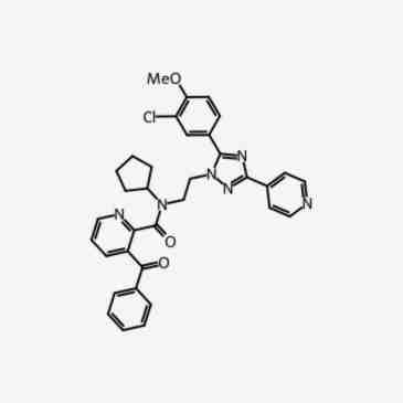 COc1ccc(-c2nc(-c3ccncc3)nn2CCN(C(=O)c2ncccc2C(=O)c2ccccc2)C2CCCC2)cc1Cl